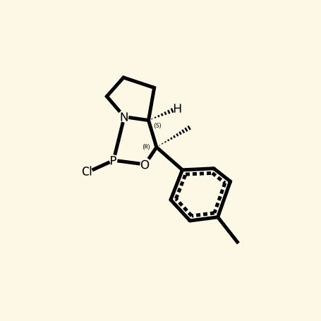 Cc1ccc([C@@]2(C)OP(Cl)N3CCC[C@H]32)cc1